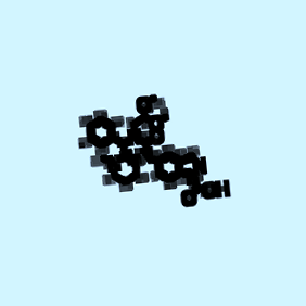 COC(CN(C(=O)Nc1ccc2c(cnn2C(=O)O)c1)C(c1ccccc1)C1CCCCN1C)OC